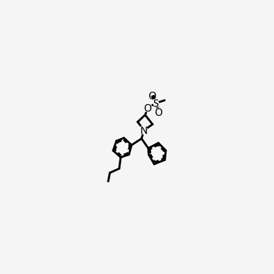 CCCc1cccc(C(c2ccccc2)N2CC(OS(C)(=O)=O)C2)c1